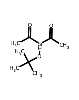 CC(=O)[SiH](OC(C)(C)C)C(C)=O